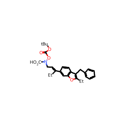 CC/C(=C\CN(OC(=O)OC(C)(C)C)C(=O)O)c1ccc2c(Cc3ccccc3)c(CC)oc2c1